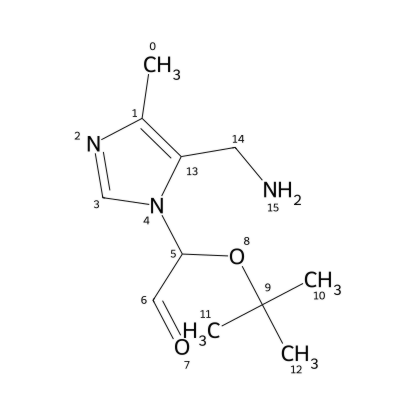 Cc1ncn(C(C=O)OC(C)(C)C)c1CN